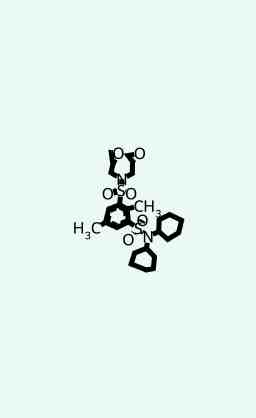 Cc1cc(S(=O)(=O)N(CC2CO2)CC2CO2)c(C)c(S(=O)(=O)N(C2CCCCC2)C2CCCCC2)c1